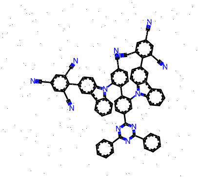 N#Cc1cc(C#N)c(-c2ccc3c(c2)c2ccccc2n3-c2cc(C#N)ccc2-c2ccc(-c3nc(-c4ccccc4)nc(-c4ccccc4)n3)cc2-n2c3ccccc3c3cc(-c4c(C#N)cc(C#N)cc4C#N)ccc32)c(C#N)c1